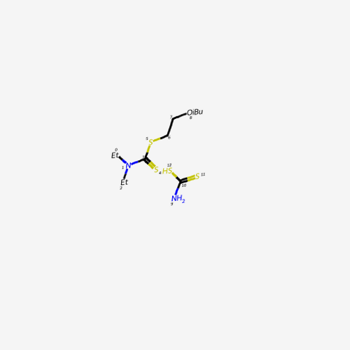 CCN(CC)C(=S)SCCOCC(C)C.NC(=S)S